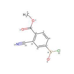 COC(=O)c1ccc([S+]([O-])Cl)cc1C#N